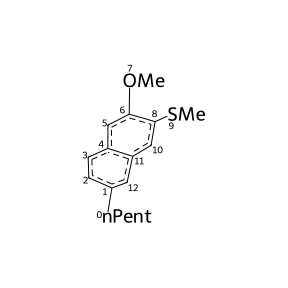 CCCCCc1ccc2cc(OC)c(SC)cc2c1